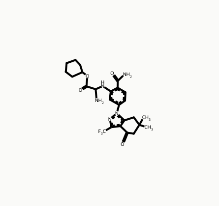 CC1(C)CC(=O)c2c(C(F)(F)F)nn(-c3ccc(C(N)=O)c(NC(N)C(=O)OC4CCCCC4)c3)c2C1